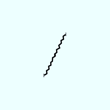 ICCCCCCCCC=CCCCCCCCCI